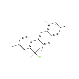 C=C(C)/C(=C\c1ccc(C)cc1C)c1ccc(C)cc1C(C)(C)F